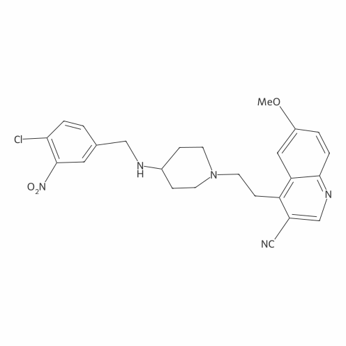 COc1ccc2ncc(C#N)c(CCN3CCC(NCc4ccc(Cl)c([N+](=O)[O-])c4)CC3)c2c1